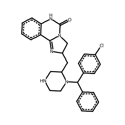 O=C1Nc2ccccc2C2=NC(CC3CNCCN3C(c3ccccc3)c3ccc(Cl)cc3)CN12